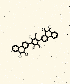 O=C1C(=O)c2cc(-c3c(F)c(F)c(-c4ccc5c(c4)C(=O)C(=O)c4ccccc4-5)c(F)c3F)ccc2-c2ccccc21